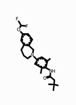 Cc1cc(N2CCCc3cc(OC(F)F)ccc3C2)cc(C)c1NC(=O)CC(C)(C)C